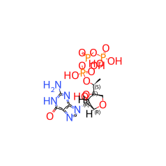 C[C@H](OP(=O)(O)OP(=O)(O)OP(=O)(O)O)[C@@]12CO[C@@H]([C@H](n3cnc4c(=O)[nH]c(N)nc43)O1)[C@@H]2O